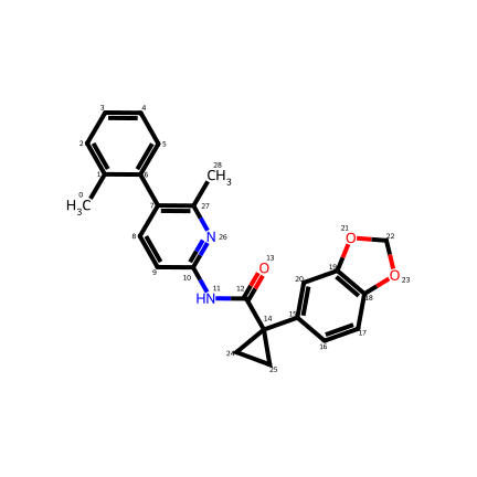 Cc1ccccc1-c1ccc(NC(=O)C2(c3ccc4c(c3)OCO4)CC2)nc1C